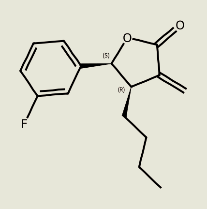 C=C1C(=O)O[C@H](c2cccc(F)c2)[C@@H]1CCCC